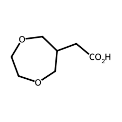 O=C(O)CC1COCCOC1